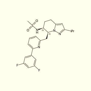 CC(C)c1cc2n(n1)[C@@H](Cc1cccc(-c3cc(F)cc(F)c3)n1)[C@@H](NS(C)(=O)=O)CC2